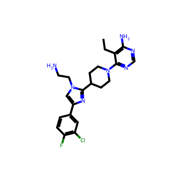 CCc1c(N)ncnc1N1CCC(c2nc(-c3ccc(F)c(Cl)c3)cn2CCN)CC1